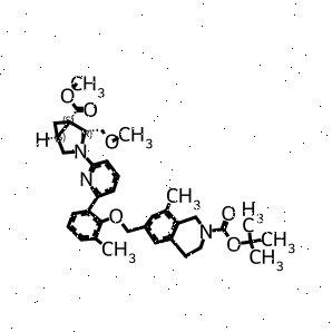 COC[C@@H]1N(c2cccc(-c3cccc(C)c3OCc3cc(C)c4c(c3)CCN(C(=O)OC(C)(C)C)C4)n2)C[C@H]2C[C@]21C(=O)OC